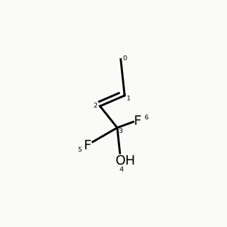 CC=CC(O)(F)F